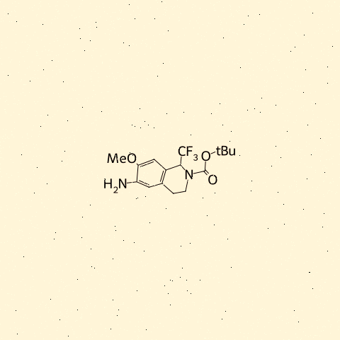 COc1cc2c(cc1N)CCN(C(=O)OC(C)(C)C)C2C(F)(F)F